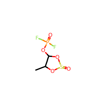 CC1OS(=O)OC1OP(=O)(F)F